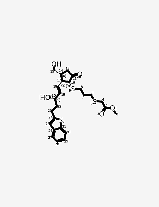 COC(=O)CSCCCS[C@H]1C(=O)C[C@@H](CO)[C@@H]1C=C[C@@H](O)CCc1cc2ccccc2s1